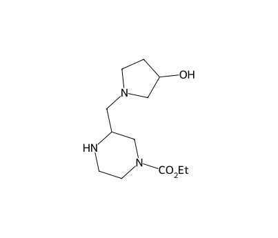 CCOC(=O)N1CCNC(CN2CCC(O)C2)C1